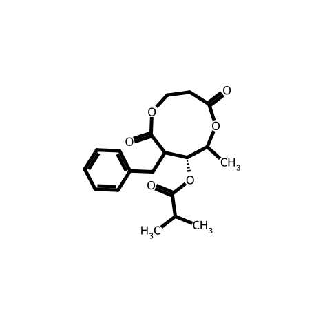 CC(C)C(=O)O[C@H]1C(C)OC(=O)CCOC(=O)C1Cc1ccccc1